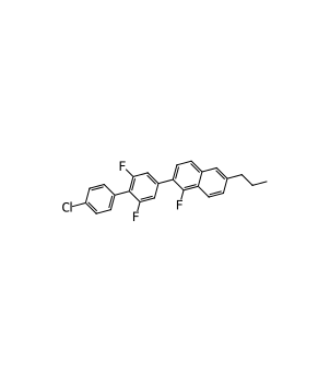 CCCc1ccc2c(F)c(-c3cc(F)c(-c4ccc(Cl)cc4)c(F)c3)ccc2c1